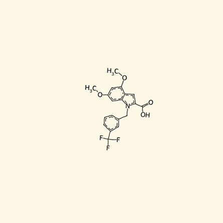 COc1cc(OC)c2cc(C(=O)O)n(Cc3cccc(C(F)(F)F)c3)c2c1